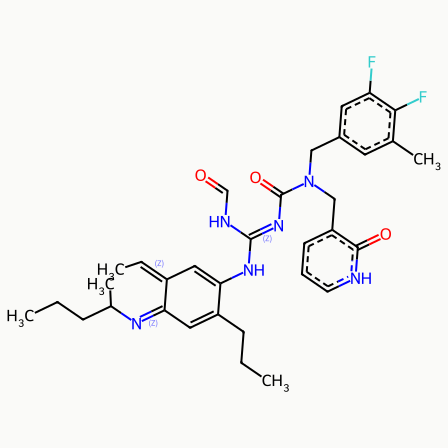 C/C=C1/C=C(N/C(=N/C(=O)N(Cc2cc(C)c(F)c(F)c2)Cc2ccc[nH]c2=O)NC=O)C(CCC)=C/C1=N/C(C)CCC